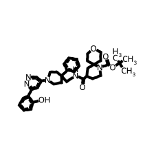 CC(C)(C)OC(=O)N1CCC(C(=O)NCC2(c3ccccc3)CCN(c3cnnc(-c4ccccc4O)c3)CC2)CC12CCOCC2